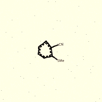 CSc1[c]cccc1C#N